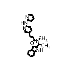 CC(c1cc2ccccc2[nH]1)N(C)C(=O)C=Cc1ccc(Nc2ccccn2)nc1